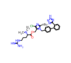 CCCCc1nc(Cl)c(COC(=O)C(CCCNC(=N)N)N(C)C)n1Cc1ccc(-c2ccccc2-c2nn[nH]n2)cc1